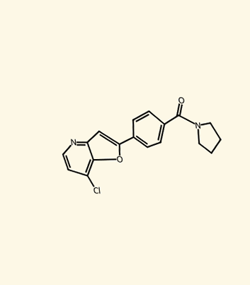 O=C(c1ccc(-c2cc3nccc(Cl)c3o2)cc1)N1CCCC1